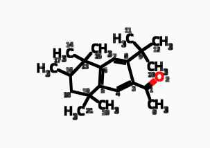 CC(=O)c1cc2c(cc1C(C)(C)C)C(C)(C)C(C)CC2(C)C